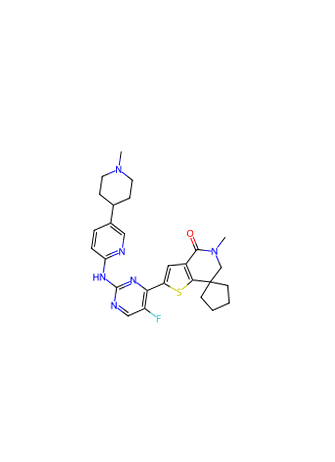 CN1CCC(c2ccc(Nc3ncc(F)c(-c4cc5c(s4)C4(CCCC4)CN(C)C5=O)n3)nc2)CC1